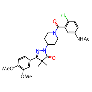 COc1ccc(C2=NN(C3CCN(C(=O)c4cc(NC(C)=O)ccc4Cl)CC3)C(=O)C2(C)C)cc1OC